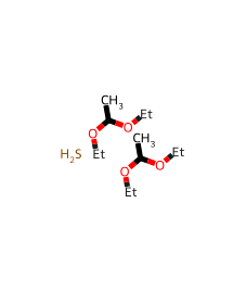 CCOC(C)OCC.CCOC(C)OCC.S